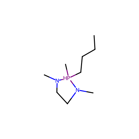 CCCC[PH]1(C)N(C)CCN1C